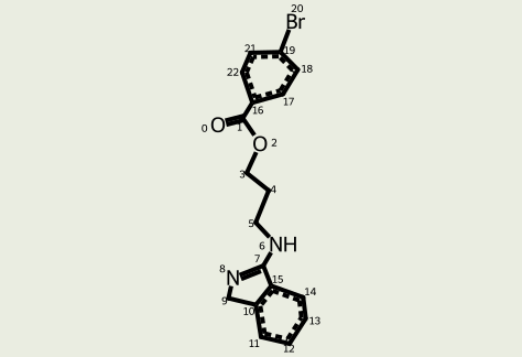 O=C(OCCCNC1=NCc2ccccc21)c1ccc(Br)cc1